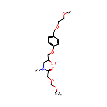 CC(C)OCCOCc1ccc(OCC(O)CN(C(=O)COCO[N+](=O)[O-])C(C)C)cc1